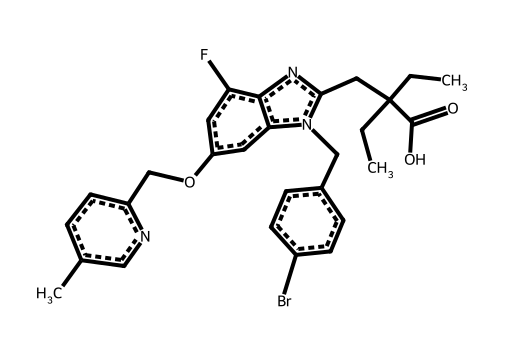 CCC(CC)(Cc1nc2c(F)cc(OCc3ccc(C)cn3)cc2n1Cc1ccc(Br)cc1)C(=O)O